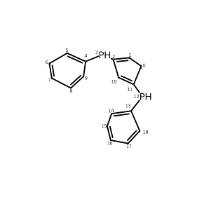 [CH]1C=C(Pc2ccccc2)C=C1Pc1ccccc1